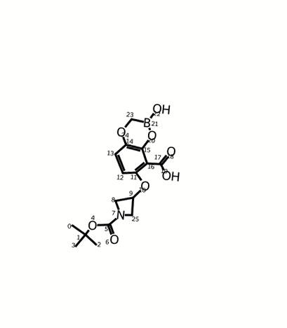 CC(C)(C)OC(=O)N1CC(Oc2ccc3c(c2C(=O)O)OB(O)CO3)C1